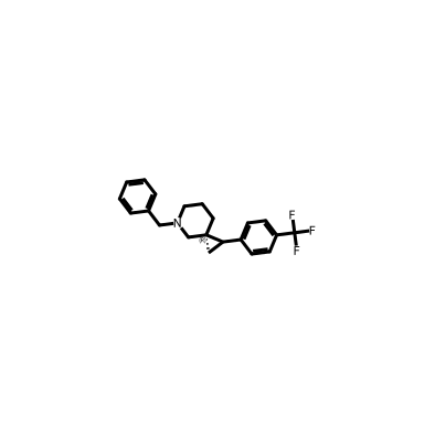 FC(F)(F)c1ccc(C2C[C@]23CCCN(Cc2ccccc2)C3)cc1